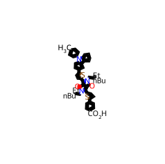 CCCCC(CC)CN1C(=O)C2=C(c3ccc(-c4ccc5c(c4)c4ccccc4n5-c4ccc(C)cc4)s3)N(CC(CC)CCCC)C(=O)C2=C1c1ccc(-c2ccc(C(=O)O)cc2)s1